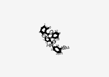 Cc1cccc(Cl)c1C(=O)N1CCC[C@H](C(=O)Nc2cccc(C(C)(C)C)c2)[C@@H]1C1C=CC=CC1